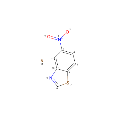 O=[N+]([O-])c1ccc2scnc2c1.[S]